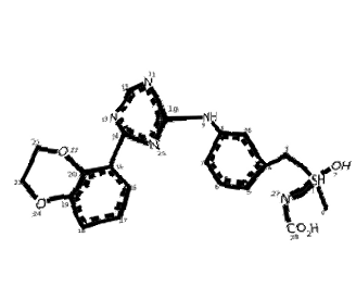 C[SH](O)(Cc1cccc(Nc2ncnc(-c3cccc4c3OCCO4)n2)c1)=NC(=O)O